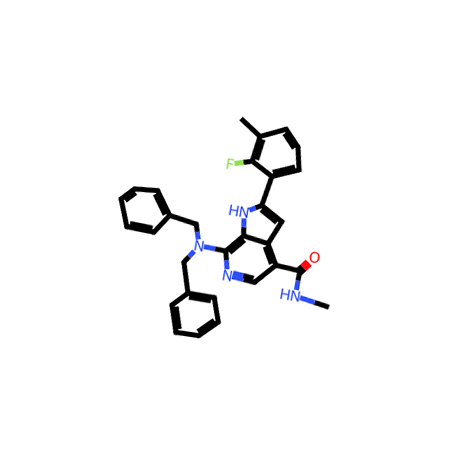 CNC(=O)c1cnc(N(Cc2ccccc2)Cc2ccccc2)c2[nH]c(-c3cccc(C)c3F)cc12